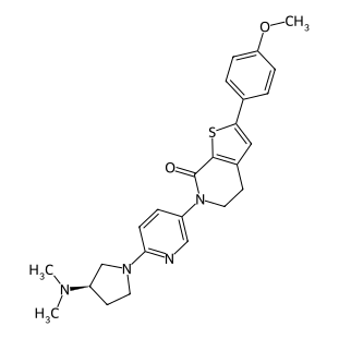 COc1ccc(-c2cc3c(s2)C(=O)N(c2ccc(N4CC[C@@H](N(C)C)C4)nc2)CC3)cc1